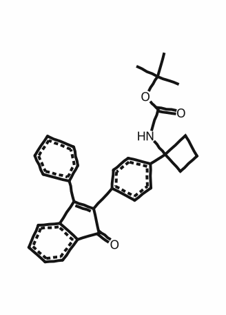 CC(C)(C)OC(=O)NC1(c2ccc(C3=C(c4ccccc4)c4ccccc4C3=O)cc2)CCC1